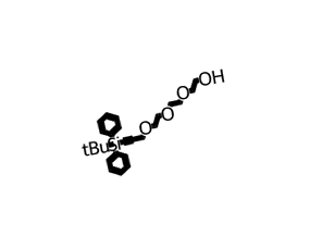 CC(C)(C)[Si](C#CCOCCOCCOCCO)(c1ccccc1)c1ccccc1